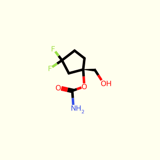 NC(=O)O[C@@]1(CO)CCC(F)(F)C1